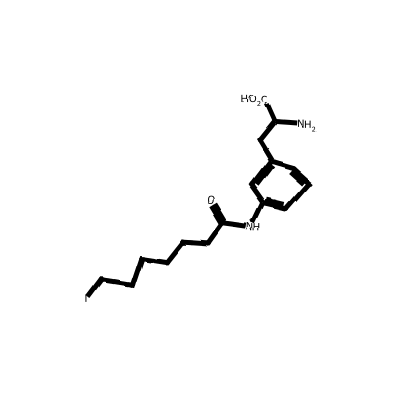 NC(Cc1cccc(NC(=O)CCCCCCI)c1)C(=O)O